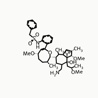 CO[C@H](C)C[C@]1(O)C(CN)CC([C@H]2O/C(c3ccccc3NS(=O)(=O)Cc3ccccc3)=C\[C@@H](OC)CC[C@@H]2C)C(C)C2C[C@H](C)[C@H](OC)[C@@]21O